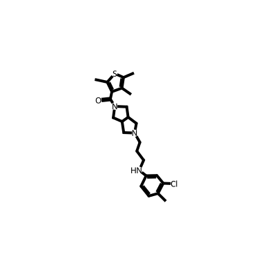 Cc1ccc(NCCCN2CC3CN(C(=O)c4c(C)sc(C)c4C)CC3C2)cc1Cl